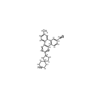 Cc1ccc(-c2cnc(N3CCC4(CCNCC4)C3)nc2-c2ccc(C#N)cc2)cc1